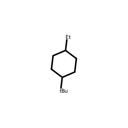 CCC1CCC(C(C)(C)C)CC1